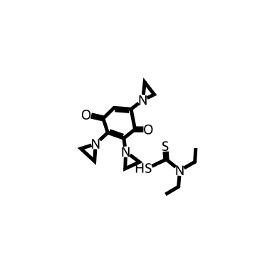 CCN(CC)C(=S)S.O=C1C=C(N2CC2)C(=O)C(N2CC2)=C1N1CC1